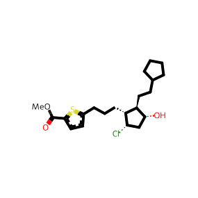 COC(=O)c1ccc(CCC[C@@H]2[C@@H](CCC3CCCC3)[C@H](O)C[C@@H]2Cl)s1